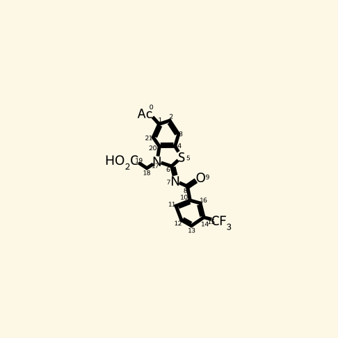 CC(=O)c1ccc2s/c(=N\C(=O)c3cccc(C(F)(F)F)c3)n(CC(=O)O)c2c1